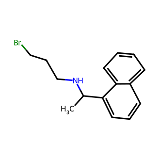 CC(NCCCBr)c1cccc2ccccc12